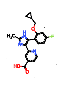 Cc1nc(-c2cc(C(=O)O)ccn2)c(-c2ccc(F)cc2OCC2CC2)[nH]1